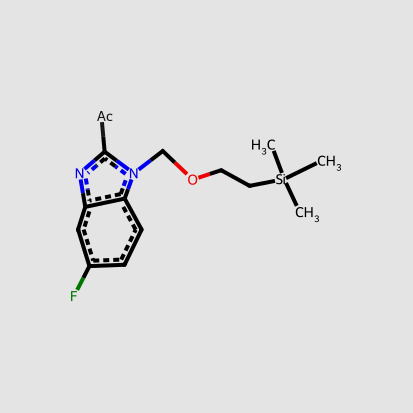 CC(=O)c1nc2cc(F)ccc2n1COCC[Si](C)(C)C